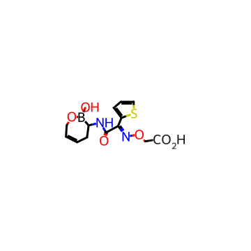 O=C(O)CO/N=C(/C(=O)NC1CC=CCOB1O)c1cccs1